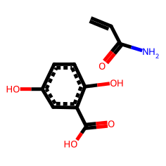 C=CC(N)=O.O=C(O)c1cc(O)ccc1O